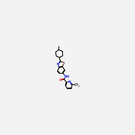 CC1CCC(c2nc3ccc(NC(=O)c4cccc(C(F)(F)F)n4)cc3s2)CC1